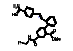 COC(=O)c1cc(C(=O)NCC(C)C)ccc1-c1ccccc1/C=C/c1ccc(C(=N)N)cc1